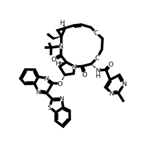 CC[C@@]12C[C@H]1/C=C\CCCCC[C@H](NC(=O)c1cnc(C)nc1)C(=O)N1C[C@H](Oc3nc4ccccc4nc3-c3nc4ccccc4s3)C[C@H]1C(=O)N2C(C)(C)C